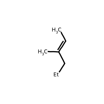 C/C=C(\C)CCC